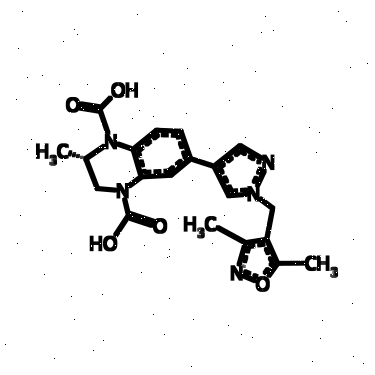 Cc1noc(C)c1Cn1cc(-c2ccc3c(c2)N(C(=O)O)C[C@H](C)N3C(=O)O)cn1